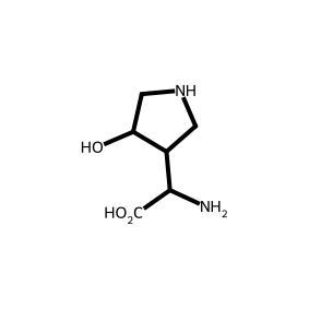 NC(C(=O)O)C1CNCC1O